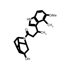 COc1ccc2[nH]cc(C(C)CC(=O)N3C4CC5CC3CC(O)(C5)C4)c2c1C